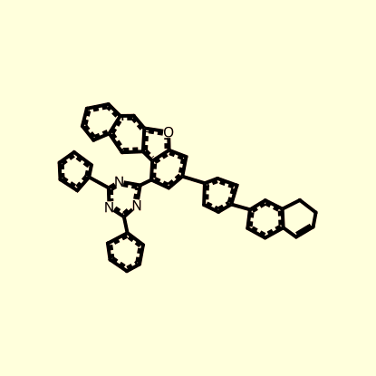 C1=Cc2ccc(-c3ccc(-c4cc(-c5nc(-c6ccccc6)nc(-c6ccccc6)n5)c5c(c4)oc4cc6ccccc6cc45)cc3)cc2CC1